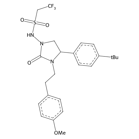 COc1ccc(CCN2C(=O)N(NS(=O)(=O)CC(F)(F)F)CC2c2ccc(C(C)(C)C)cc2)cc1